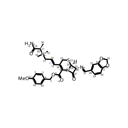 COc1ccc(COC(=O)C2=C(/C=C/C[N+](C)(C)[C@H](C)C(N)=O)CS[C@H]3[C@H](N=Cc4ccc5c(c4)OCO5)C(=O)N23)cc1